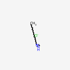 CCCCCCCCCCCCCCCCCC[N+]1=CNCC1.[Cl-]